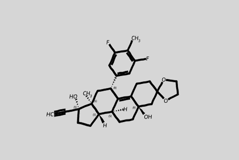 C#C[C@]1(O)CC[C@H]2[C@@H]3CC[C@@]4(O)CC5(CCC4=C3[C@@H](c3cc(F)c(C)c(F)c3)C[C@@]21C)OCCO5